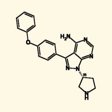 Nc1ncnc2c1c(-c1ccc(Oc3ccccc3)cc1)nn2[C@@H]1CCNC1